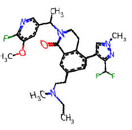 CCN(C)CCc1cc2c(c(-c3cn(C)nc3C(F)F)c1)CCN(C(C)c1cnc(F)c(OC)c1)C2=O